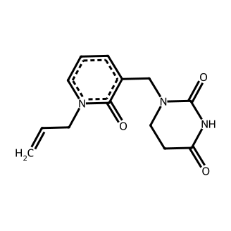 C=CCn1cccc(CN2CCC(=O)NC2=O)c1=O